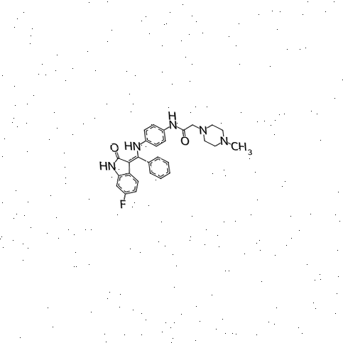 CN1CCN(CC(=O)Nc2ccc(N/C(=C3\C(=O)Nc4cc(F)ccc43)c3ccccc3)cc2)CC1